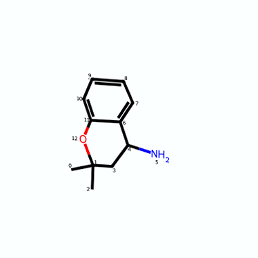 CC1(C)CC(N)c2cc[c]cc2O1